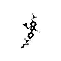 C=CCNC(=O)Nc1ccc(-c2c(N)c3ccc(OC(F)F)cc3n2CC2CC2)cc1